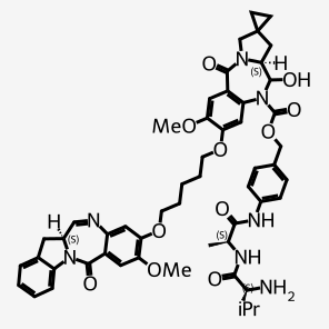 COc1cc2c(cc1OCCCCCOc1cc3c(cc1OC)C(=O)N1CC4(CC4)C[C@H]1C(O)N3C(=O)OCc1ccc(NC(=O)[C@H](C)NC(=O)[C@@H](N)C(C)C)cc1)N=C[C@@H]1Cc3ccccc3N1C2=O